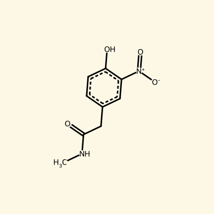 CNC(=O)Cc1ccc(O)c([N+](=O)[O-])c1